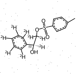 [2H]c1c([2H])c([2H])c([C@]([2H])(O)C([2H])([2H])OS(=O)(=O)c2ccc(C)cc2)c([2H])c1[2H]